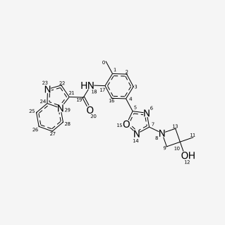 Cc1ccc(-c2nc(N3CC(C)(O)C3)no2)cc1NC(=O)c1cnc2ccccn12